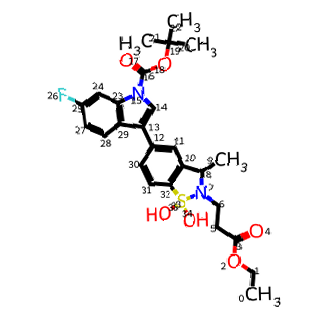 CCOC(=O)CCN1C(C)c2cc(-c3cn(C(=O)OC(C)(C)C)c4cc(F)ccc34)ccc2S1(O)O